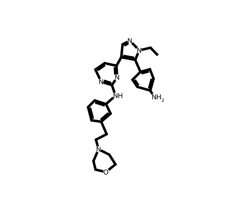 CCn1ncc(-c2ccnc(Nc3cccc(CCN4CCOCC4)c3)n2)c1-c1ccc(N)cc1